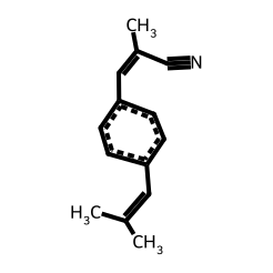 CC(C)=Cc1ccc(/C=C(/C)C#N)cc1